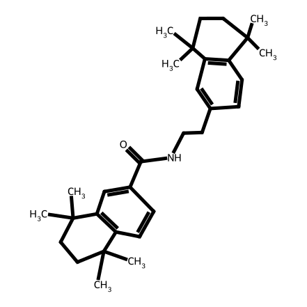 CC1(C)CCC(C)(C)c2cc(CCNC(=O)c3ccc4c(c3)C(C)(C)CCC4(C)C)ccc21